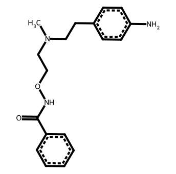 CN(CCONC(=O)c1ccccc1)CCc1ccc(N)cc1